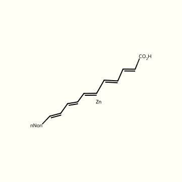 CCCCCCCCCC=CC=CC=CC=CC=CC(=O)O.[Zn]